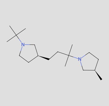 C[C@@H]1CCN(C(C)(C)CC[C@H]2CCN(C(C)(C)C)C2)C1